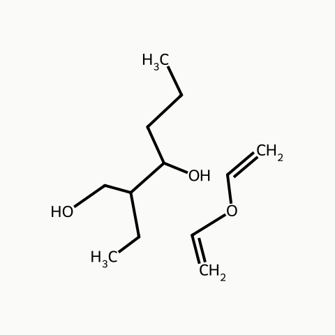 C=COC=C.CCCC(O)C(CC)CO